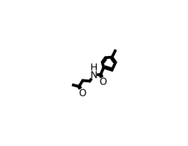 CC(=O)CCNC(=O)c1ccc(C)cc1